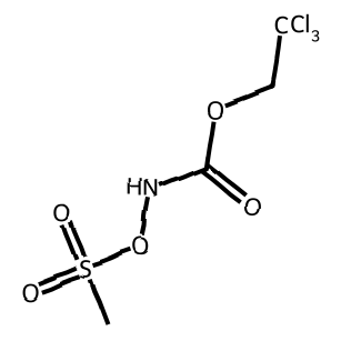 CS(=O)(=O)ONC(=O)OCC(Cl)(Cl)Cl